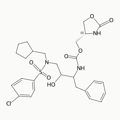 O=C(NC(Cc1ccccc1)C(O)CN(CC1CCCC1)S(=O)(=O)c1ccc(Cl)cc1)OC[C@@H]1COC(=O)N1